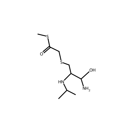 CSC(=O)CSCC(NC(C)C)C(N)O